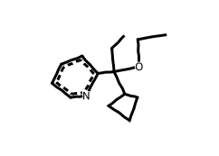 CCOC(CC)(c1ccccn1)C1CCC1